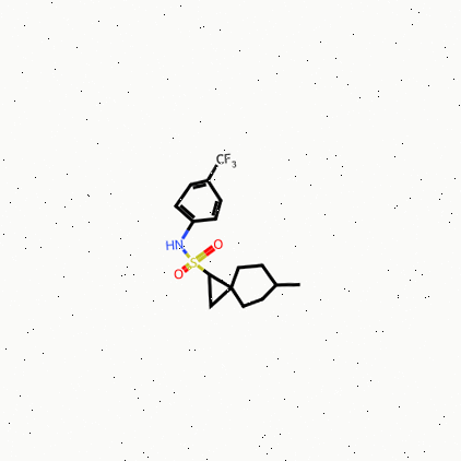 CC1CCC2(CC1)CC2S(=O)(=O)Nc1ccc(C(F)(F)F)cc1